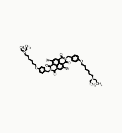 CCN(CC)CCCCCCOc1ccc(CN2C(=O)c3cc(Br)c4c5c(cc(Br)c(c35)C2=O)C(=O)N(Cc2ccc(OCCCCCCN(CC)CC)cc2)C4=O)cc1